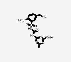 COc1nc(C)nc(NC(=O)NS(=O)(=O)c2cc(CC#N)ccc2C(=O)O)n1